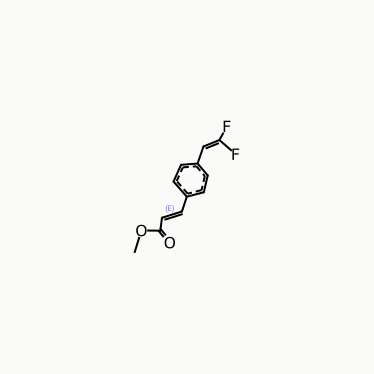 COC(=O)/C=C/c1ccc(C=C(F)F)cc1